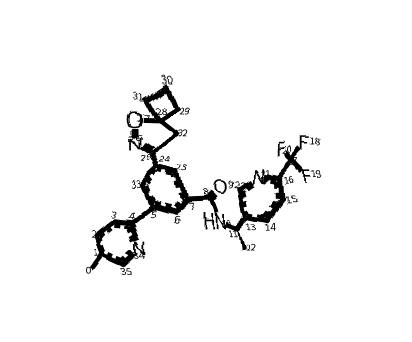 Cc1ccc(-c2cc(C(=O)N[C@H](C)c3ccc(C(F)(F)F)nc3)cc(C3=NOC4(CCC4)C3)c2)nc1